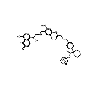 COc1cc(NC(=O)CCCc2ccc(C3(C(=O)O[C@H]4CN5CCC4CC5)CCCCC3)cc2)c(Cl)cc1CNC[C@H](O)c1ccc(O)c2[nH]c(=O)ccc12